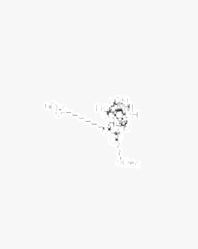 CCCCCCCCCCCCCCCC(=O)O[C@@H](COP(=O)(O)OC1C(O)[C@H](OP(=O)(O)O)C(OP(=O)(O)O)[C@H](O)[C@@H]1O)CC(=O)OCCCCCCCCCCCCSC(=O)CCC